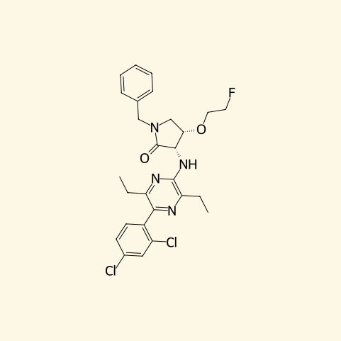 CCc1nc(-c2ccc(Cl)cc2Cl)c(CC)nc1N[C@@H]1C(=O)N(Cc2ccccc2)C[C@@H]1OCCF